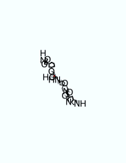 CNS(=O)(=O)c1cccc(OC[C@@H](O)CN[C@H]2COC3(CCN(S(=O)(=O)c4cnc5c(c4)CNC5)CC3)C2)c1